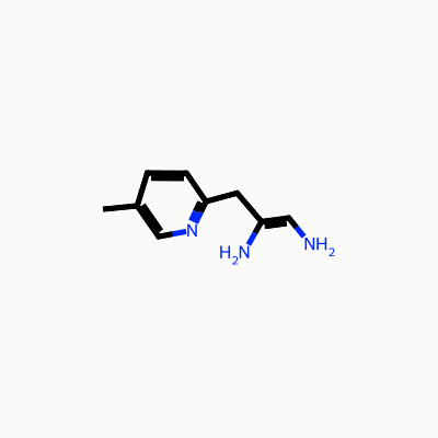 Cc1ccc(CC(N)=CN)nc1